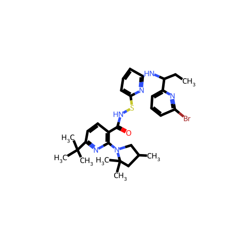 CCC(Nc1cccc(SNC(=O)c2ccc(C(C)(C)C)nc2N2CC(C)CC2(C)C)n1)c1cccc(Br)n1